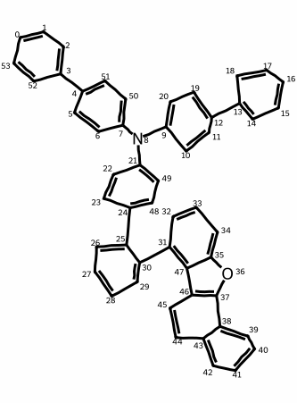 c1ccc(-c2ccc(N(c3ccc(-c4ccccc4)cc3)c3ccc(-c4ccccc4-c4cccc5oc6c7ccccc7ccc6c45)cc3)cc2)cc1